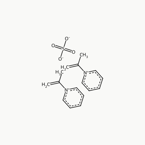 C=C(C)[n+]1ccccc1.C=C(C)[n+]1ccccc1.O=S(=O)([O-])[O-]